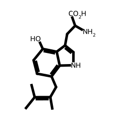 CC(C)=C(C)Cc1ccc(O)c2c(CC(N)C(=O)O)c[nH]c12